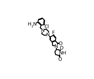 Nc1cccc(Cl)c1CN1CCN(c2cc3c(cc2F)C(=O)N(C2CCC(=O)NC2=O)C3)CC1